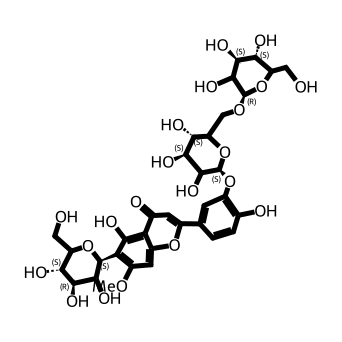 COc1cc2oc(-c3ccc(O)c(O[C@@H]4OC(CO[C@@H]5OC(CO)[C@@H](O)[C@H](O)C5O)[C@@H](O)[C@H](O)C4O)c3)cc(=O)c2c(O)c1[C@@H]1OC(CO)[C@@H](O)[C@H](O)C1O